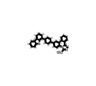 CC(C)(C)c1nnc2c3ccccc3c3cc(-c4ccc(-c5cccc6c5sc5ccccc56)cc4)ccc3n12